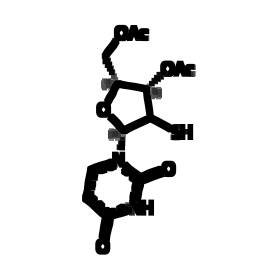 CC(=O)OC[C@H]1O[C@@H](n2ccc(=O)[nH]c2=O)C(S)[C@H]1OC(C)=O